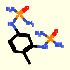 Cc1ccc(NP(N)(N)=O)cc1NP(N)(N)=O